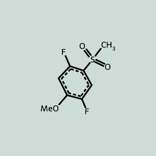 COc1cc(F)c(S(C)(=O)=O)cc1F